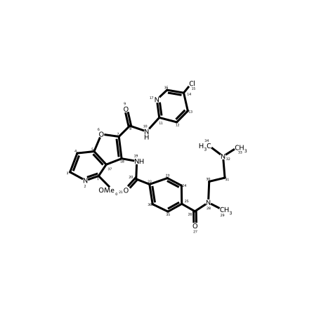 COc1nccc2oc(C(=O)Nc3ccc(Cl)cn3)c(NC(=O)c3ccc(C(=O)N(C)CCN(C)C)cc3)c12